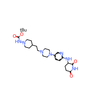 CC(C)(C)OC(=O)NN1CCC(CCN2CCN(c3ccc(NC4CCC(=O)NC4=O)nc3)CC2)CC1